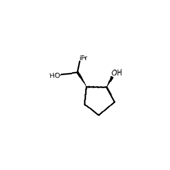 CC(C)C(O)[C@@H]1CCC[C@@H]1O